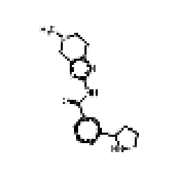 CN1CCc2nc(NC(=O)c3cccc(C4CCCN4)c3)sc2C1